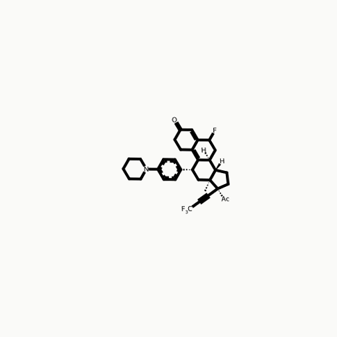 CC(=O)[C@@]1(C#CC(F)(F)F)CC[C@H]2[C@@H]3CC(F)C4=CC(=O)CCC4=C3[C@@H](c3ccc(N4CCCCC4)cc3)C[C@@]21C